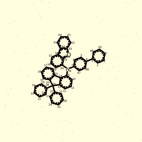 c1ccc(-c2ccc(N(c3cccc4c3-c3ccccc3C4(c3ccccc3)c3ccccc3)c3cccc4c3oc3ccccc34)cc2)cc1